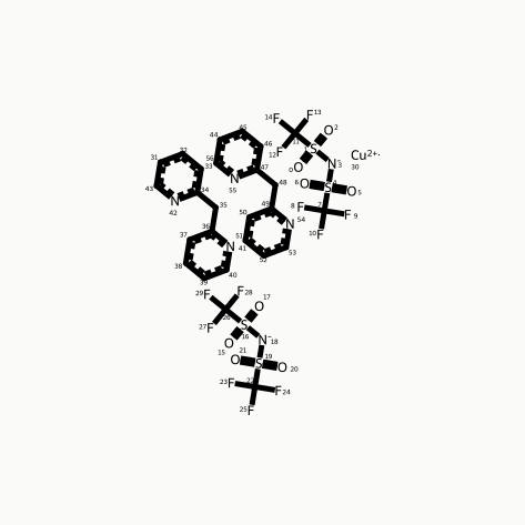 O=S(=O)([N-]S(=O)(=O)C(F)(F)F)C(F)(F)F.O=S(=O)([N-]S(=O)(=O)C(F)(F)F)C(F)(F)F.[Cu+2].c1ccc(Cc2ccccn2)nc1.c1ccc(Cc2ccccn2)nc1